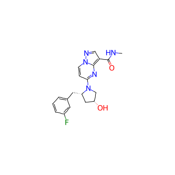 CNC(=O)c1cnn2ccc(N3C[C@H](O)C[C@@H]3Cc3cccc(F)c3)nc12